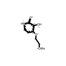 COCCOc1cc[nH]c(=O)c1O